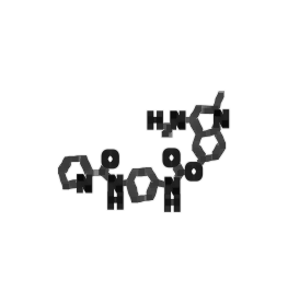 Cc1cc(N)c2cc(OC(=O)Nc3ccc(NC(=O)c4ccccn4)cc3)ccc2n1